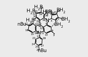 BC1=C(B)C(N2c3cc(C)cc4c3B(c3cc(CCCC)ccc3N4c3ccc(CCCC)cc3)c3c(B)c(B)c(B)c(B)c32)C(B)=C1B